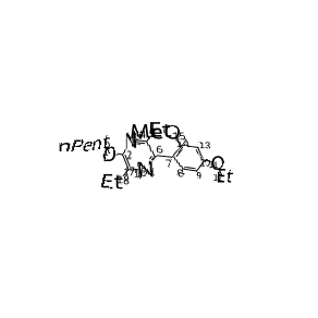 CCCCCOc1nc(CC)c(-c2ccc(OCC)cc2OC)nc1CC